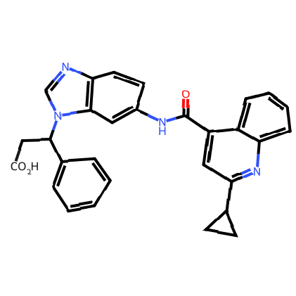 O=C(O)CC(c1ccccc1)n1cnc2ccc(NC(=O)c3cc(C4CC4)nc4ccccc34)cc21